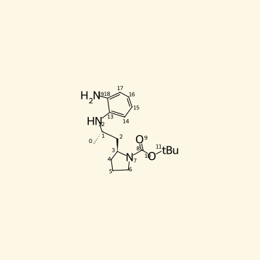 C[C@@H](C[C@@H]1CCCN1C(=O)OC(C)(C)C)Nc1ccccc1N